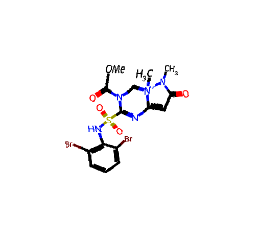 COC(=O)N1C[N+]2(C)C(=CC(=O)N2C)N=C1S(=O)(=O)Nc1c(Br)cccc1Br